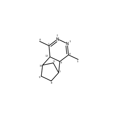 CC1=NN=C(C)C2C3CCC(C3)C12